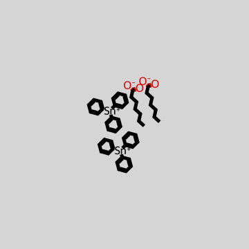 CCCCCCC(=O)[O-].CCCCCCC(=O)[O-].c1cc[c]([Sn+]([c]2ccccc2)[c]2ccccc2)cc1.c1cc[c]([Sn+]([c]2ccccc2)[c]2ccccc2)cc1